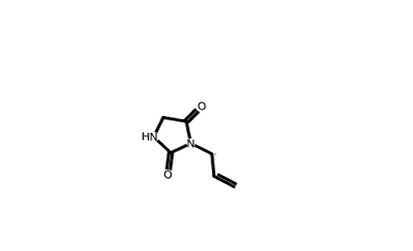 C=C[CH]N1C(=O)CNC1=O